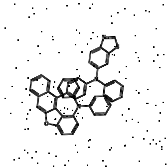 c1ccc(N(c2ccc(-c3c4ccccc4cc4oc5cccc(N(c6ccccc6)c6ccccc6)c5c34)cc2)c2ccc3ncsc3c2)cc1